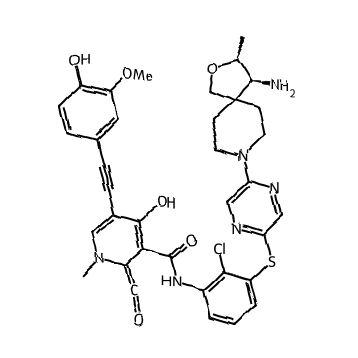 COc1cc(C#CC2=CN(C)C(=C=O)C(C(=O)Nc3cccc(Sc4cnc(N5CCC6(CC5)CO[C@@H](C)[C@H]6N)cn4)c3Cl)=C2O)ccc1O